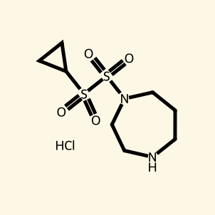 Cl.O=S(=O)(C1CC1)S(=O)(=O)N1CCCNCC1